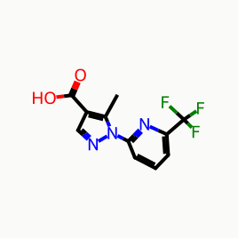 Cc1c(C(=O)O)cnn1-c1cccc(C(F)(F)F)n1